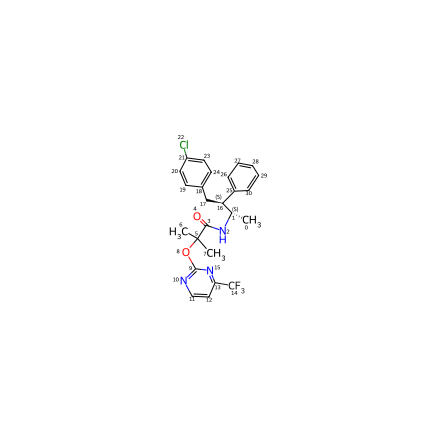 C[C@H](NC(=O)C(C)(C)Oc1nccc(C(F)(F)F)n1)[C@@H](Cc1ccc(Cl)cc1)c1ccccc1